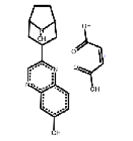 CN1C2CCC1CC(c1cnc3cc(O)ccc3n1)C2.O=C(O)/C=C\C(=O)O